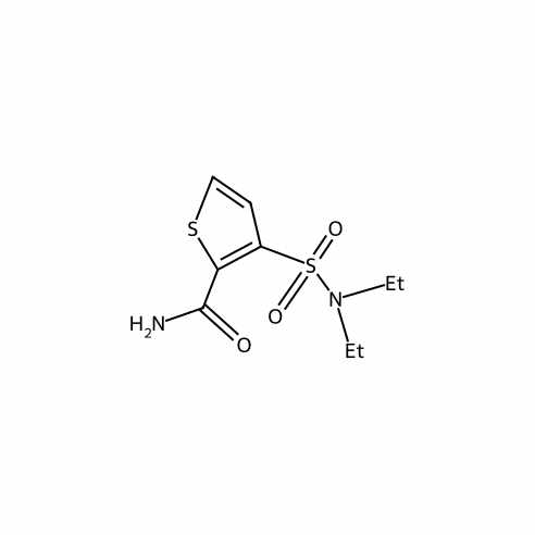 CCN(CC)S(=O)(=O)c1ccsc1C(N)=O